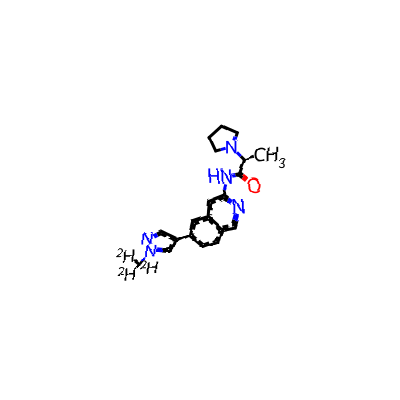 [2H]C([2H])([2H])n1cc(-c2ccc3cnc(NC(=O)[C@H](C)N4CCCC4)cc3c2)cn1